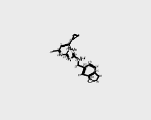 Cc1cc(C2CC2)n2nc(NCc3ccc4c(c3)OCC4)nc2n1